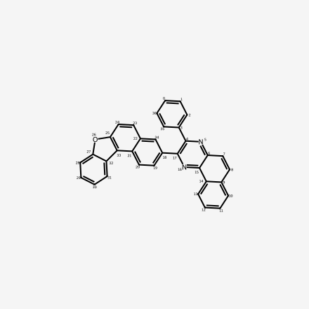 c1ccc(-c2nc3ccc4ccccc4c3nc2-c2ccc3c(ccc4oc5ccccc5c43)c2)cc1